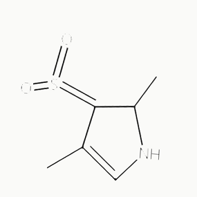 CC1=CNC(C)C1=S(=O)=O